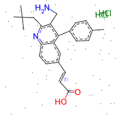 Cc1ccc(-c2c(CN)c(CC(C)(C)C)nc3ccc(/C=C/C(=O)O)cc23)cc1.Cl.Cl